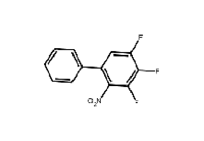 O=[N+]([O-])c1c(-c2ccccc2)cc(F)c(F)c1F